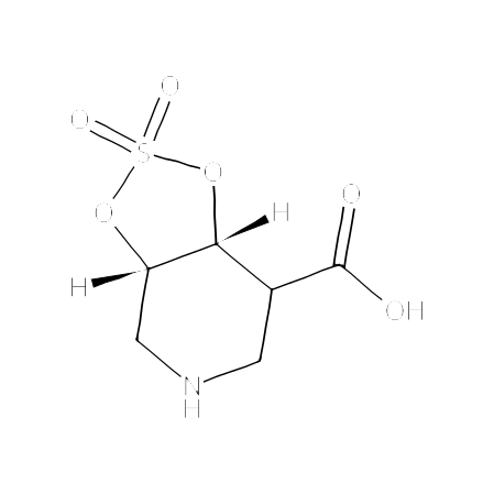 O=C(O)C1CNC[C@@H]2OS(=O)(=O)O[C@H]12